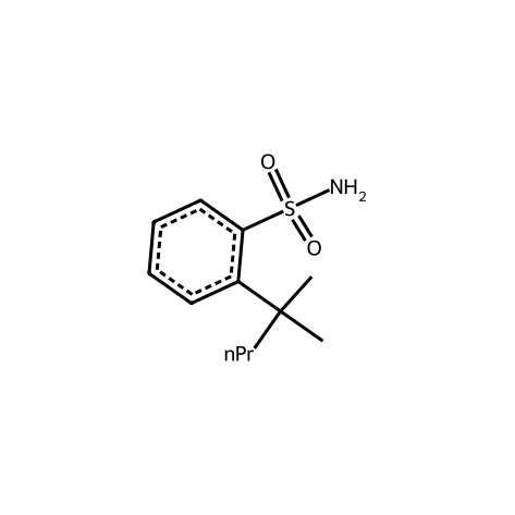 CCCC(C)(C)c1ccccc1S(N)(=O)=O